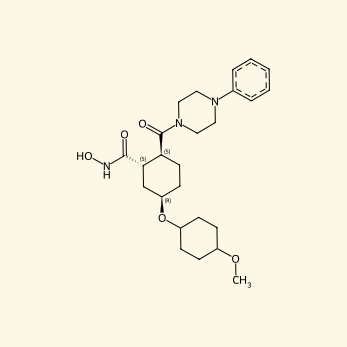 COC1CCC(O[C@@H]2CC[C@H](C(=O)N3CCN(c4ccccc4)CC3)[C@@H](C(=O)NO)C2)CC1